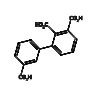 O=C(O)c1cccc(-c2cccc(C(=O)O)c2C(=O)O)c1